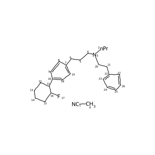 CC#N.CCCN(CCCc1ccc(C2CCCCC2F)cc1)CCc1ccccc1